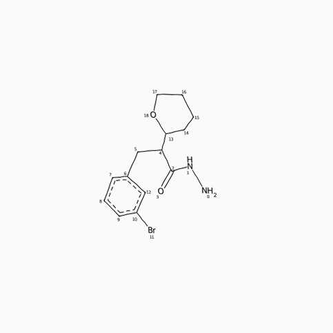 NNC(=O)C(Cc1cccc(Br)c1)C1CCCCO1